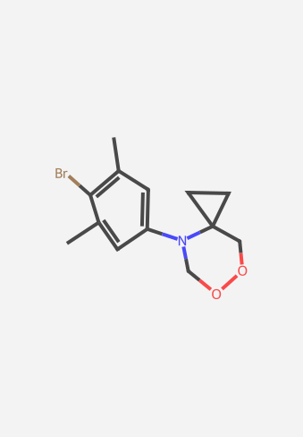 Cc1cc(N2COOCC23CC3)cc(C)c1Br